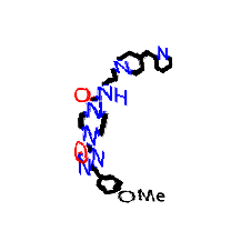 COc1ccc(-c2noc(N3CCN(C(=O)NCCCN4CCC(Cc5ccccn5)CC4)CC3)n2)cc1